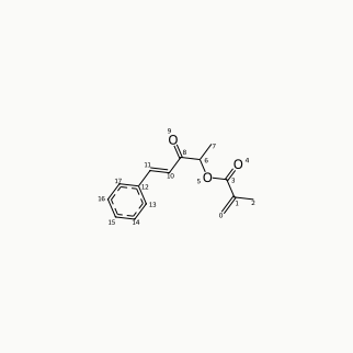 C=C(C)C(=O)OC(C)C(=O)C=Cc1ccccc1